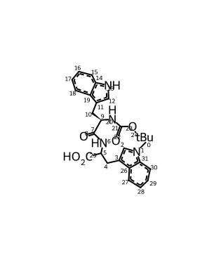 Cn1cc(CC(NC(=O)[C@@H](Cc2c[nH]c3ccccc23)NC(=O)OC(C)(C)C)C(=O)O)c2ccccc21